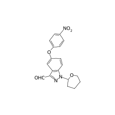 O=Cc1nn(C2CCCCO2)c2ccc(Oc3ccc([N+](=O)[O-])cc3)cc12